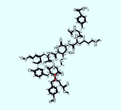 C\C=C/C(=C\C=C\N=O)C[C@@H](NC(=O)[C@H]1NC(=O)[C@@H](NC(=O)[C@H](CCCCNC)NC(=O)[C@@H](Cc2ccc(C(N)=O)cc2)NC(C)=O)[C@H](O)C1SSC[C@@H](NC(=O)[C@H](Cc1ccc(Cl)cc1)NC(=O)CCC(=O)OC)C(=O)NCCc1ccc(N=O)cc1)C(N)=O